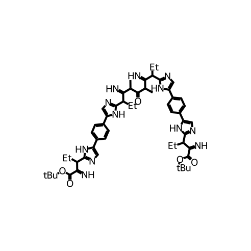 CCC(C(=N)C(=O)OC(C)(C)C)c1ncc(-c2ccc(-c3cnc(C(CC)C(=N)C(C)C(=O)C(C)C(=N)C(CC)c4ncc(-c5ccc(-c6cnc(C(CC)C(=N)C(=O)OC(C)(C)C)[nH]6)cc5)[nH]4)[nH]3)cc2)[nH]1